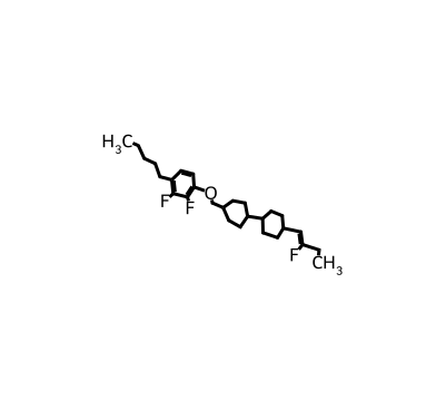 CCCCCc1ccc(OCC2CCC(C3CCC(/C=C(\F)CC)CC3)CC2)c(F)c1F